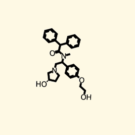 CN(C(=O)C(c1ccccc1)c1ccccc1)C(CN1CC[C@H](O)C1)c1ccc(OCCO)cc1